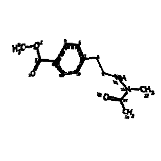 COC(=O)c1ccc(CCNN(C)C(C)=O)cc1